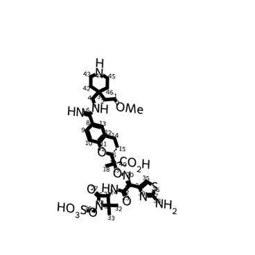 COCCC1(CNC(=N)c2ccc3c(c2)CC[C@H]([C@](C)(O/N=C(\C(=O)N[C@@H]2C(=O)N(OS(=O)(=O)O)C2(C)C)c2csc(N)n2)C(=O)O)O3)CCNCC1